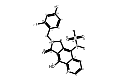 CN(c1c2c(c(O)c3ncccc13)C(=O)N(Cc1ccc(Cl)cc1F)C2)S(C)(=O)=O